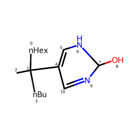 CCCCCCC(C)(CCCC)C1=CNC(O)N=C1